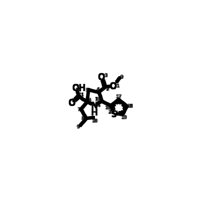 COC(=O)C1CC(CC(C)C)(C(=O)O)NC1c1cccs1